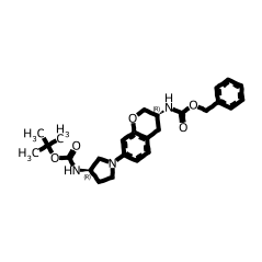 CC(C)(C)OC(=O)N[C@@H]1CCN(c2ccc3c(c2)OC[C@H](NC(=O)OCc2ccccc2)C3)C1